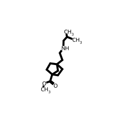 COC(=O)C12CCC(CCNCC(C)C)(CC1)C2